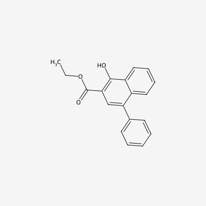 CCOC(=O)c1cc(-c2ccccc2)c2ccccc2c1O